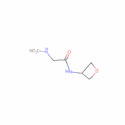 O=C(O)NCC(=O)NC1COC1